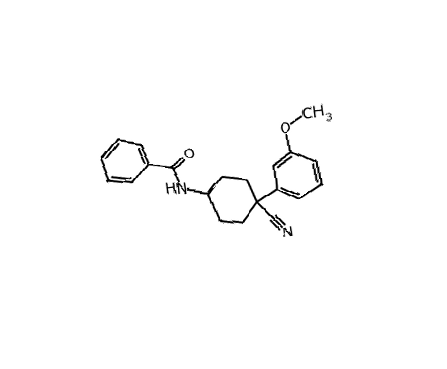 COc1cccc(C2(C#N)CCC(NC(=O)c3ccccc3)CC2)c1